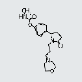 CNC(=O)Oc1ccc(C2CCC(=O)N2CCCN2CCOCC2)cc1